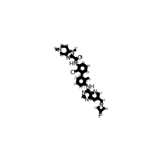 Cc1c(Nc2ncnc3cc(CN4CC(F)C4)cnc23)cccc1-c1cccc(NC(=O)c2nc3c(n2C)CCN(C)C3)c1Cl